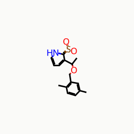 Cc1ccc(C)c(COC(C)c2ccc[nH]c2=S(=O)=O)c1